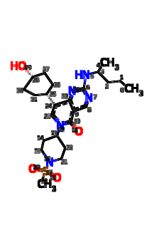 CCCC(C)Nc1ncc2c(=O)n(C3CCN(S(C)(=O)=O)CC3)cc([C@H]3CC[C@@H](O)CC3)c2n1